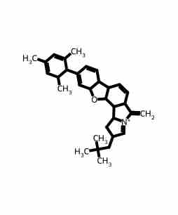 C=C1C2C=CC3C4C=CC(C5C(C)=CC(C)=CC5C)=CC4OC3C2C2CC(CC(C)(C)C)C=[N+]12